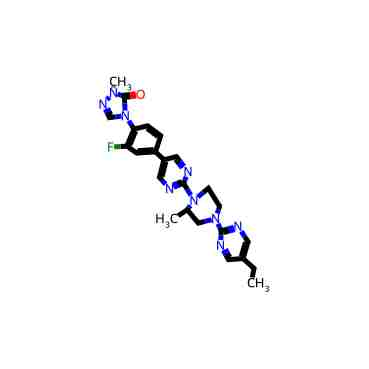 CCc1cnc(N2CCN(c3ncc(-c4ccc(-n5cnn(C)c5=O)c(F)c4)cn3)C(C)C2)nc1